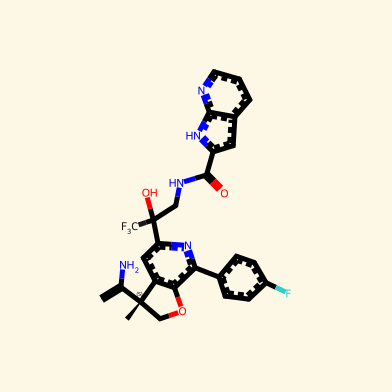 C=C(N)[C@@]1(C)COc2c1cc(C(O)(CNC(=O)c1cc3cccnc3[nH]1)C(F)(F)F)nc2-c1ccc(F)cc1